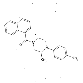 Cc1ccc(N2CCN(C(=O)c3cccc4ccccc34)CC2C)cc1